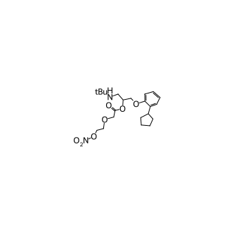 CC(C)(C)NCC(COc1ccccc1C1CCCC1)OC(=O)COCCO[N+](=O)[O-]